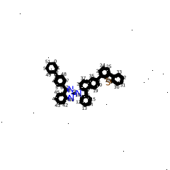 C1=CC(c2ccc(-c3nc(-n4c5ccccc5c5c6ccc(-c7cccc8c7sc7ccccc78)cc6ccc54)nc4ccccc34)cc2)=CCC1